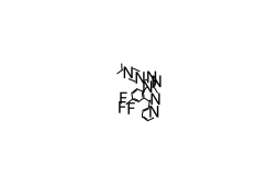 CC(C)N1CCN(c2nnc3n2-c2ccc(C(F)(F)F)cc2C(c2ccccn2)=NC3)CC1